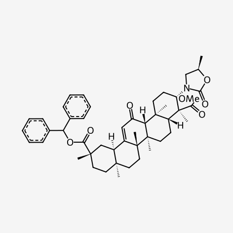 COC(=O)[C@]1(C)[C@@H](N2C[C@@H](C)OC2=O)CC[C@@]2(C)[C@H]1CC[C@]1(C)[C@@H]2C(=O)C=C2[C@@H]3C[C@@](C)(C(=O)OC(c4ccccc4)c4ccccc4)CC[C@]3(C)CC[C@]21C